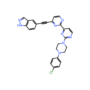 Clc1ccc(N2CCN(c3nccc(-c4nccc(C#Cc5ccc6[nH]ncc6c5)n4)n3)CC2)cc1